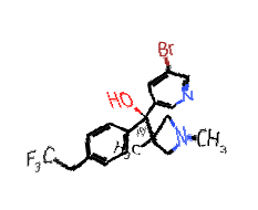 CN1CC(C)([C@](O)(c2ccc(CC(F)(F)F)cc2)c2cncc(Br)c2)C1